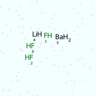 F.F.F.[BaH2].[LiH]